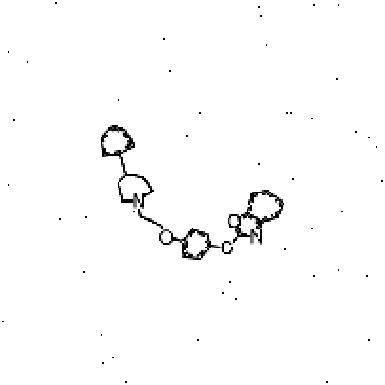 c1ccc(C2CCN(CCOc3ccc(Oc4nc5ccccc5o4)cc3)CC2)cc1